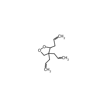 C=CC[C]1OOCC1(CC=C)CC=C